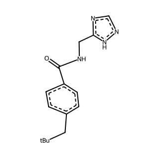 CC(C)(C)Cc1ccc(C(=O)NCc2ncn[nH]2)cc1